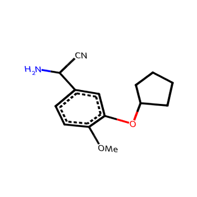 COc1ccc(C(N)C#N)cc1OC1CCCC1